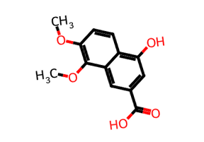 COc1ccc2c(O)cc(C(=O)O)cc2c1OC